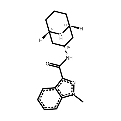 Cn1nc(C(=O)N[C@H]2C[C@H]3CCC[C@@H](C2)N3)c2ccccc21